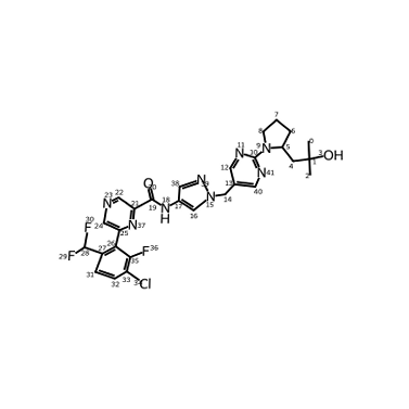 CC(C)(O)CC1CCCN1c1ncc(Cn2cc(NC(=O)c3cncc(-c4c(C(F)F)ccc(Cl)c4F)n3)cn2)cn1